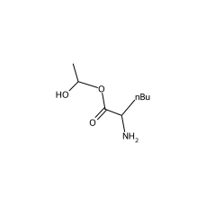 CCCCC(N)C(=O)OC(C)O